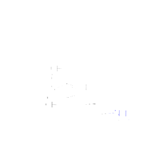 CC[Si](CC)(CC)CCCCCN